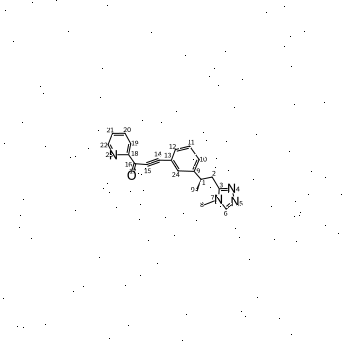 C[C@H](Cc1nncn1C)c1cccc(C#CC(=O)c2ccccn2)c1